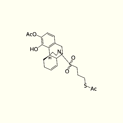 CC(=O)Oc1ccc2c(c1O)[C@@]13CCC=CC1C(C2)N(S(=O)(=O)CCCSC(C)=O)CC3